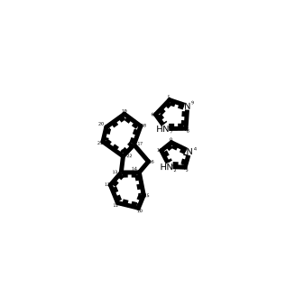 c1c[nH]cn1.c1c[nH]cn1.c1ccc2c(c1)Cc1ccccc1-2